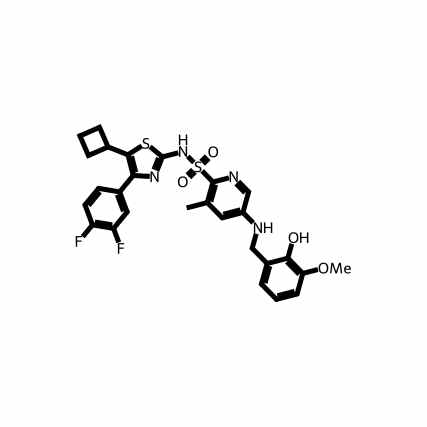 COc1cccc(CNc2cnc(S(=O)(=O)Nc3nc(-c4ccc(F)c(F)c4)c(C4CCC4)s3)c(C)c2)c1O